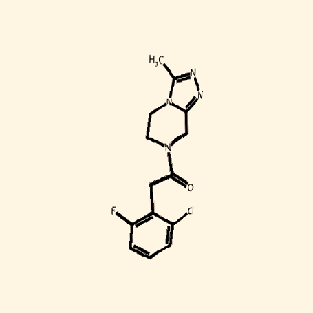 Cc1nnc2n1CCN(C(=O)Cc1c(F)cccc1Cl)C2